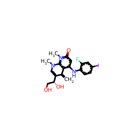 C=C1C([C@H](O)CO)=CN(C)c2c1c(Nc1ccc(I)cc1F)cc(=O)n2C